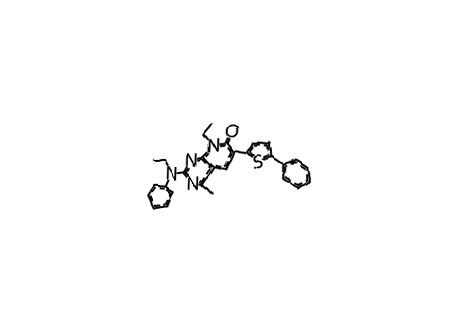 CCN(c1ccccc1)c1nc(C)c2cc(-c3ccc(-c4ccccc4)s3)c(=O)n(CC)c2n1